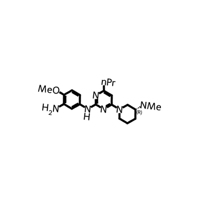 CCCc1cc(N2CCC[C@@H](NC)C2)nc(Nc2ccc(OC)c(N)c2)n1